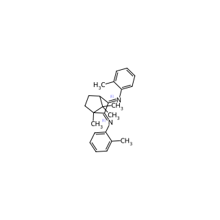 Cc1ccccc1/N=C1/C(=N/c2ccccc2C)C2(C)CCC1C2(C)C